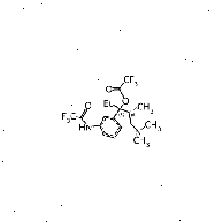 CC[C@](OC(=O)C(F)(F)F)(c1cccc(NC(=O)C(F)(F)F)c1)[C@H](C)CN(C)C